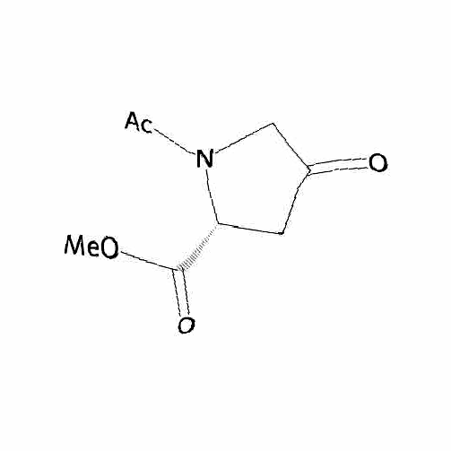 COC(=O)[C@H]1CC(=O)CN1C(C)=O